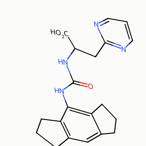 O=C(Nc1c2c(cc3c1CCC3)CCC2)NC(Cc1ncccn1)C(=O)O